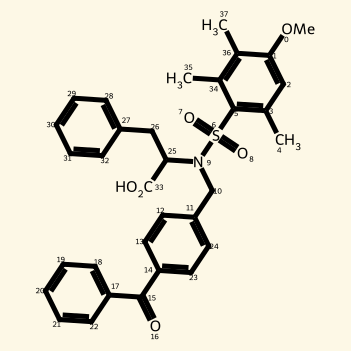 COc1cc(C)c(S(=O)(=O)N(Cc2ccc(C(=O)c3ccccc3)cc2)C(Cc2ccccc2)C(=O)O)c(C)c1C